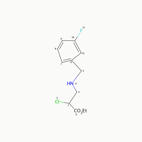 CCOC(=O)C(Cl)CNCc1cccc(F)c1